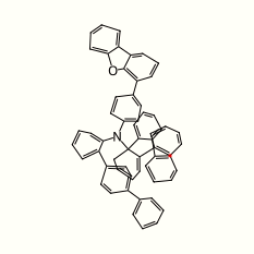 C1=CCC(c2ccccc2-c2ccccc2)(N(c2ccc(-c3cccc4c3oc3ccccc34)cc2)c2ccccc2-c2ccc(-c3ccccc3)cc2)C(c2ccccc2)=C1